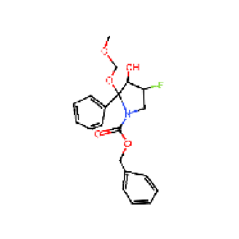 COCOC1(c2ccccc2)C(O)C(F)CN1C(=O)OCc1ccccc1